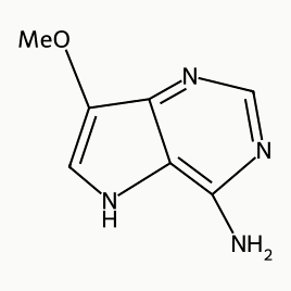 COc1c[nH]c2c(N)ncnc12